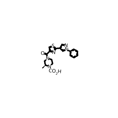 C[C@H]1CN(C(=O)c2csc(-c3cnn(-c4ccccc4)c3)n2)CCN1C(=O)O